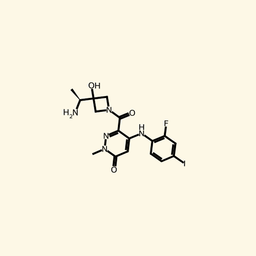 C[C@H](N)C1(O)CN(C(=O)c2nn(C)c(=O)cc2Nc2ccc(I)cc2F)C1